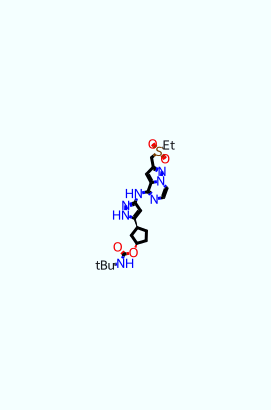 CCS(=O)(=O)Cc1cc2c(Nc3cc([C@H]4CC[C@@H](OC(=O)NC(C)(C)C)C4)[nH]n3)nccn2n1